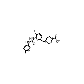 COC(=O)N1CCN(Cc2ccc(F)c(NC(=O)Nc3ccc(C)nc3)c2)CC1